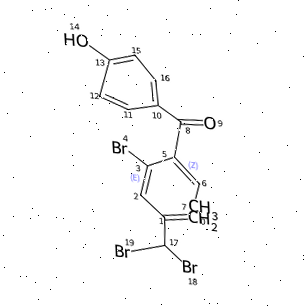 C=C(/C=C(Br)\C(=C/C)C(=O)c1ccc(O)cc1)C(Br)Br